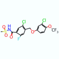 CS(=O)(=O)NC(=O)c1cc(Cl)c(COc2ccc(OC(F)(F)F)c(Cl)c2)cc1F